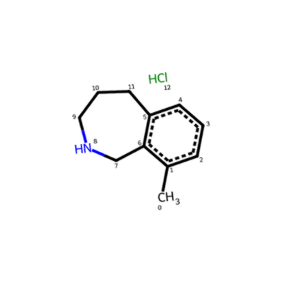 Cc1cccc2c1CNCCC2.Cl